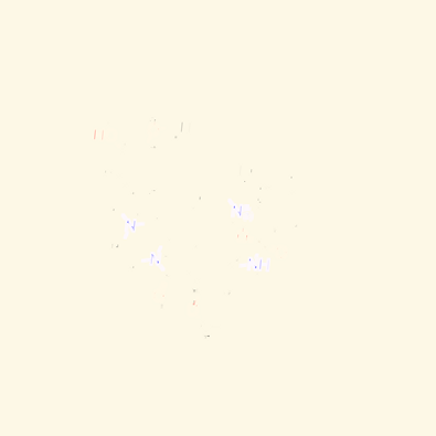 C=C/N=C1\C(=C)C=CC=C1S(=O)(=O)Nc1ccc(C(=O)N2CCN(Cc3ccc(OC)c(O)c3)CC2)c(OC)c1